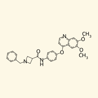 COc1cc2nccc(Oc3ccc(NC(=O)C4CN(Cc5ccccc5)C4)cc3)c2cc1OC